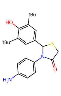 CC(C)(C)c1cc(C2SCC(=O)N2c2ccc(N)cc2)cc(C(C)(C)C)c1O